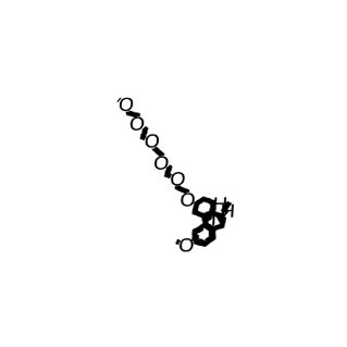 COCCOCCOCCOCCOCCO[C@@H]1CC[C@@H]2[C@@H]3Cc4ccc(OC)cc4[C@]2(CCN3C)C1